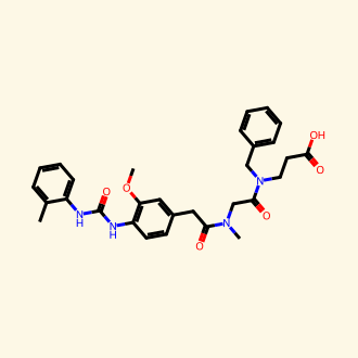 COc1cc(CC(=O)N(C)CC(=O)N(CCC(=O)O)Cc2ccccc2)ccc1NC(=O)Nc1ccccc1C